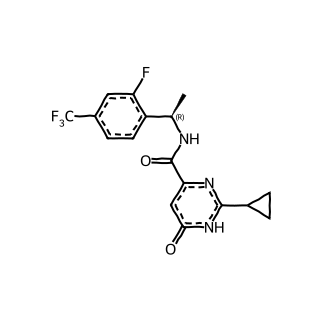 C[C@@H](NC(=O)c1cc(=O)[nH]c(C2CC2)n1)c1ccc(C(F)(F)F)cc1F